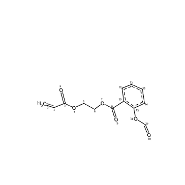 C=CC(=O)OCCOC(=O)c1ccccc1OC=O